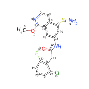 COc1nccc2c(SN)cc(NC(=O)Cc3c(F)cccc3Cl)cc12